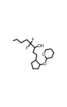 CCCCC(F)(F)C(O)CCC1[CH]CCC1OC1CCCCO1